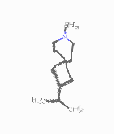 BN1CCC2(CC1)CC(C(C)C)C2